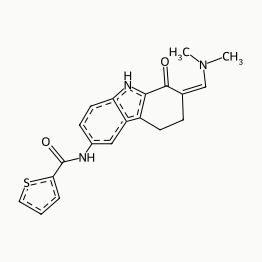 CN(C)/C=C1/CCc2c([nH]c3ccc(NC(=O)c4cccs4)cc23)C1=O